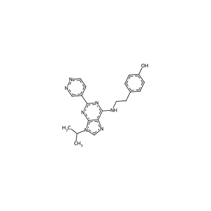 CC(C)n1cnc2c(NCCc3ccc(O)cc3)nc(-c3ccnnc3)nc21